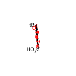 CC(C)(C)OC(=O)CCOCCOCCOCCOCC(=O)O